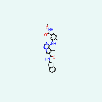 CONC(=O)c1ccc(C)c(Nc2ncnn3cc(C(=O)NC4Cc5ccccc5C4)c(C)c23)c1